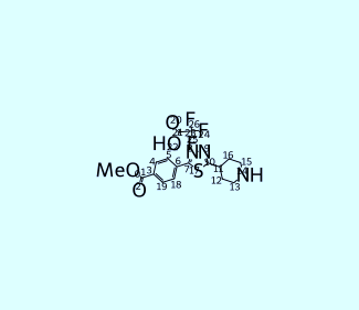 COC(=O)c1ccc(-c2nnc(C3CCNCC3)s2)cc1.O=C(O)C(F)(F)F